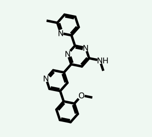 CNc1cc(-c2cncc(-c3ccccc3OC)c2)nc(-c2cccc(C)n2)n1